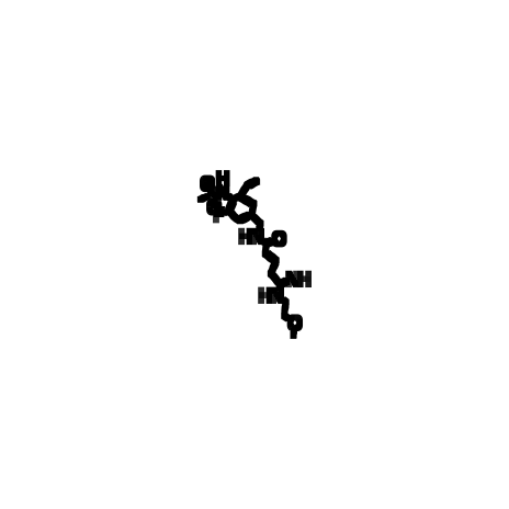 C=Cc1cc(CNC(=O)/C=C/CC(=N)NCCOC)cc(F)c1NS(C)(=O)=O